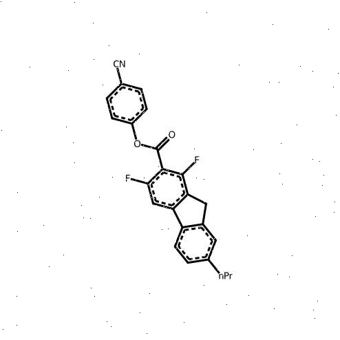 CCCc1ccc2c(c1)Cc1c-2cc(F)c(C(=O)Oc2ccc(C#N)cc2)c1F